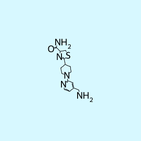 NCc1ccnc(N2CCC(C3=NC(C(N)=O)CS3)CC2)c1